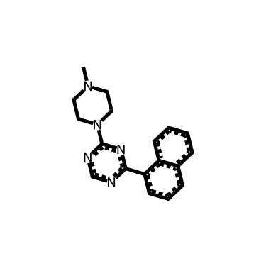 CN1CCN(c2ncnc(-c3cccc4ccccc34)n2)CC1